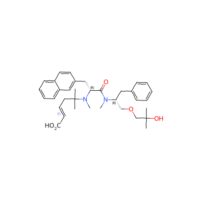 CN(C(=O)[C@@H](Cc1ccc2ccccc2c1)N(C)C(C)(C)C/C=C/C(=O)O)[C@@H](COCC(C)(C)O)Cc1ccccc1